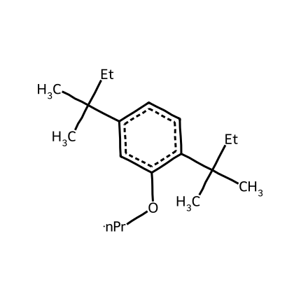 CC[CH]Oc1cc(C(C)(C)CC)ccc1C(C)(C)CC